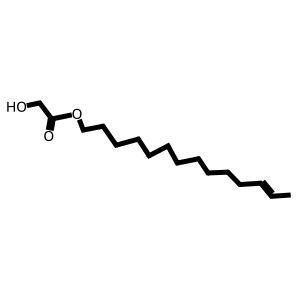 CC=CCCCCCCCCCCCOC(=O)CO